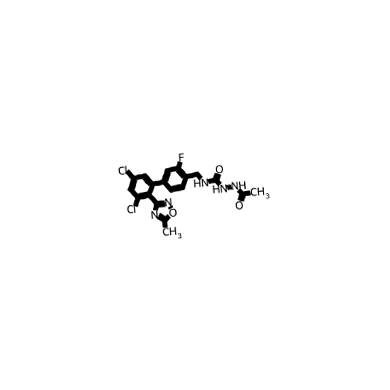 CC(=O)NNC(=O)NCc1ccc(-c2cc(Cl)cc(Cl)c2-c2noc(C)n2)cc1F